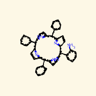 Nc1ccccc1-c1c2nc(c(-c3ccccc3)c3ccc([nH]3)c(-c3ccccc3)c3nc(c(-c4ccccc4)c4ccc1[nH]4)C=C3)C=C2